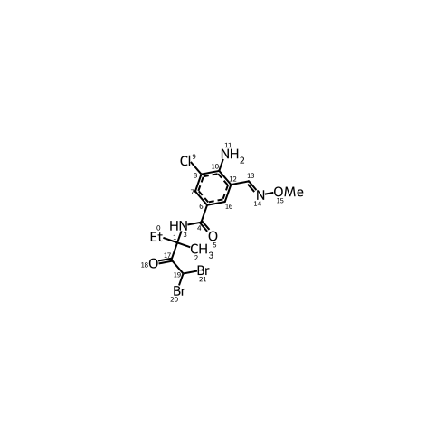 CCC(C)(NC(=O)c1cc(Cl)c(N)c(C=NOC)c1)C(=O)C(Br)Br